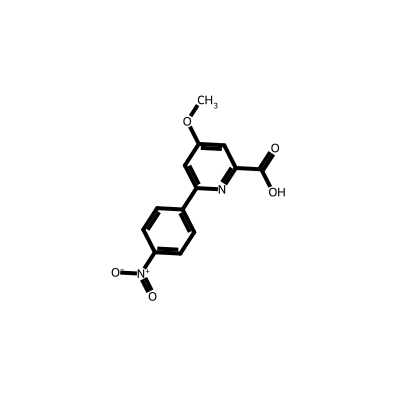 COc1cc(C(=O)O)nc(-c2ccc([N+](=O)[O-])cc2)c1